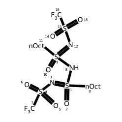 CCCCCCCCS(=O)(=NS(=O)(=O)C(F)(F)F)NS(=O)(CCCCCCCC)=NS(=O)(=O)C(F)(F)F